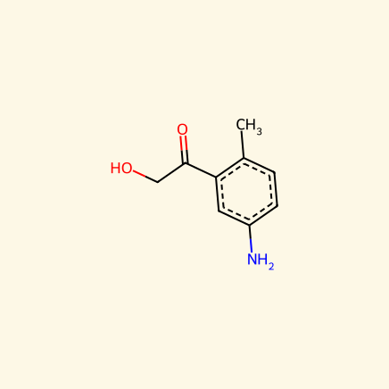 Cc1ccc(N)cc1C(=O)CO